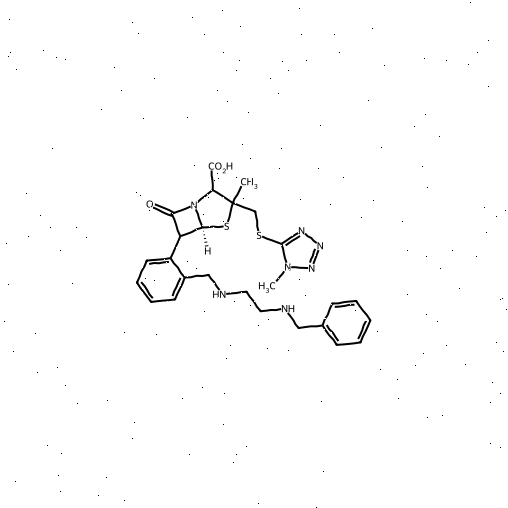 Cn1nnnc1SCC1(C)S[C@H]2C(c3ccccc3CNCCNCc3ccccc3)C(=O)N2C1C(=O)O